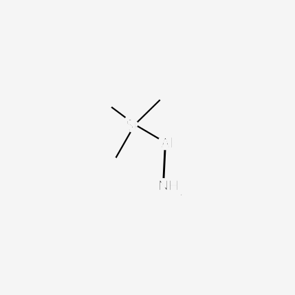 C[Si](C)(C)[Al][NH2]